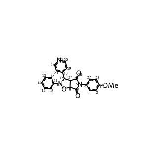 COc1ccc(N2C(=O)C3ON(c4ccccc4)C(c4ccncc4)C3C2=O)cc1